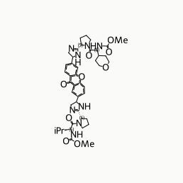 COC(=O)N[C@H](C(=O)N1CCC[C@H]1C1=NCC(c2ccc3oc4cc(C5CN=C([C@@H]6CCCN6C(=O)[C@@H](NC(=O)OC)C6CCOCC6)N5)ccc4c(=O)c3c2)N1)C(C)C